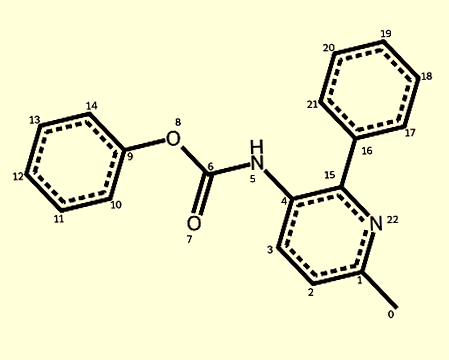 Cc1ccc(NC(=O)Oc2ccccc2)c(-c2ccccc2)n1